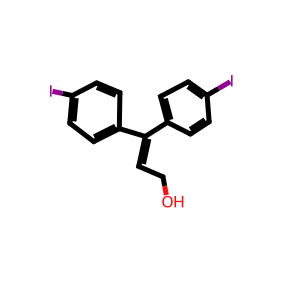 OCC=C(c1ccc(I)cc1)c1ccc(I)cc1